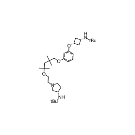 CC(C)(COc1cccc(O[C@H]2C[C@@H](NC(C)(C)C)C2)c1)CC(C)(C)OCCN1CC[C@H](NC(C)(C)C)C1